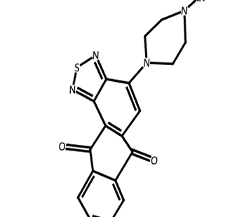 CCN1CCN(c2cc3c(c4nsnc24)C(=O)c2ccccc2C3=O)CC1